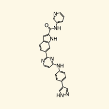 O=C(Nc1cccnc1)c1cc2ccc(-c3nccc(Nc4ccc(-c5cn[nH]c5)cc4)n3)cc2[nH]1